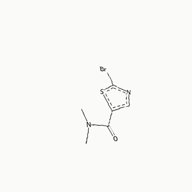 CN(C)C(=O)c1cnc(Br)s1